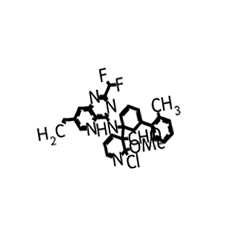 C=Cc1cnc2c(NC3(C4(C=O)C=CC=NC4(Cl)OC)C=CC=C(c4ccccc4C)C3)nc(C(F)F)nc2c1